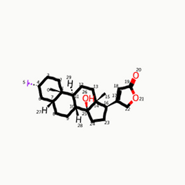 C[C@]12CC[C@@H](I)C[C@H]1CC[C@@H]1[C@@H]2CC[C@]2(C)[C@@H](C3=CC(=O)OC3)CC[C@]12O